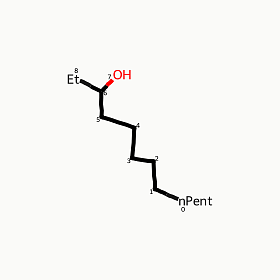 [CH2]CCCCCCCCCC(O)CC